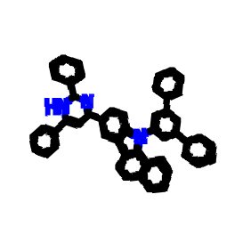 c1ccc2ccc3c4cc(C5=NC(c6ccccc6)NC(c6ccccc6)=C5)ccc4n(-c4cc(-c5ccccc5)cc(-c5ccccc5)c4)c3c2c#1